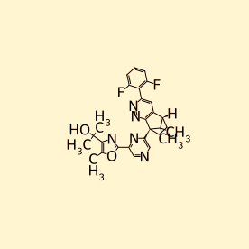 Cc1oc(-c2cncc([C@@]34CC[C@@H](c5cc(-c6c(F)cccc6F)nnc53)C4(C)C)n2)nc1C(C)(C)O